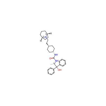 C[C@H](NC(=O)N[C@H]1CC[C@H](CCN2[C@@H]3CCC[C@H]2CC3)CC1)C(O)(c1ccccc1)c1ccccc1